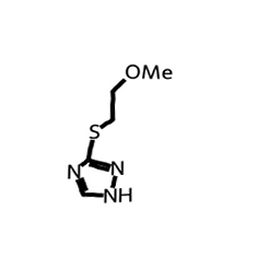 COCCSc1nc[nH]n1